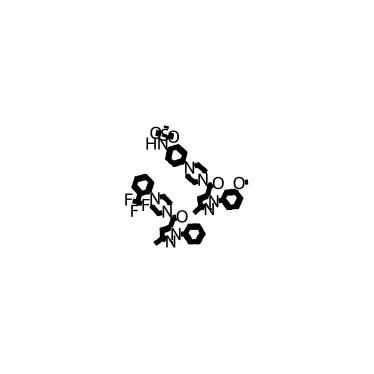 COc1cccc(-n2nc(C)cc2C(=O)N2CCN(c3ccc(NS(C)(=O)=O)cc3)CC2)c1.Cc1cc(C(=O)N2CCN(c3ccccc3C(F)(F)F)CC2)n(-c2ccccc2)n1